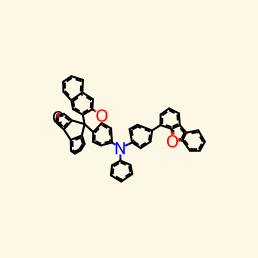 c1ccc(N(c2ccc(-c3cccc4c3oc3ccccc34)cc2)c2ccc3c(c2)Oc2cc4ccccc4cc2C32c3ccccc3-c3ccccc32)cc1